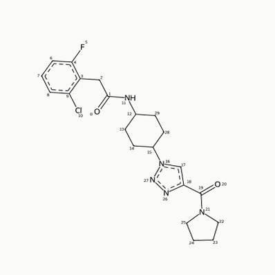 O=C(Cc1c(F)cccc1Cl)NC1CCC(n2cc(C(=O)N3CCCC3)nn2)CC1